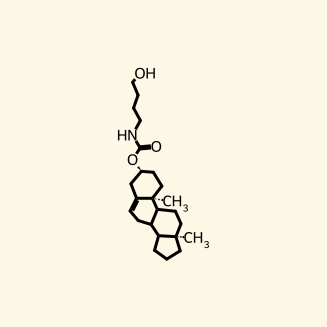 C[C@]12CCCC1C1CC=C3C[C@H](OC(=O)NCCCCO)CC[C@@]3(C)C1CC2